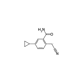 N#C[CH]c1ccc(C2CC2)cc1C(N)=O